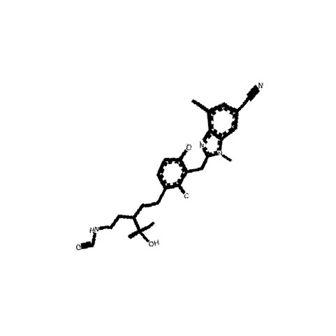 Cc1cc(C#N)cc2c1nc(Cc1c(Cl)ccc(CCC(CCNC=O)C(C)(C)O)c1Cl)n2C